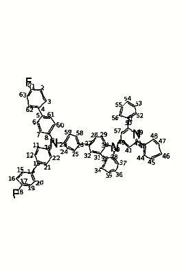 Fc1ccc(-c2ccc(N(c3ccc(-c4ccc(F)cc4)cc3)c3ccc(-c4ccc5c(c4)c4ccccc4n5-c4cc(-c5ccccc5)nc(-c5ccccc5)c4)cc3)cc2)cc1